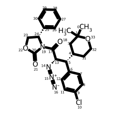 CC1(C)CC([C@H](c2ccc(Cl)cc2)[C@H](N=[N+]=[N-])C(=O)N2C(=O)OC[C@@H]2c2ccccc2)CCO1